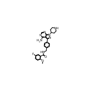 COc1ccc(F)cc1C(=O)NCc1ccc(-c2nn(C3CCNCC3)c3ncnc(N)c23)cc1